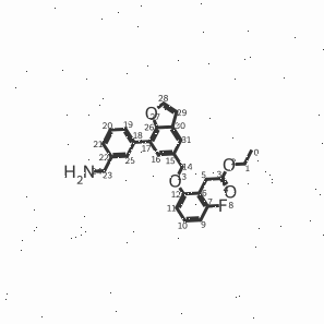 CCOC(=O)Cc1c(F)cccc1OCc1cc(-c2cccc(CN)c2)c2occc2c1